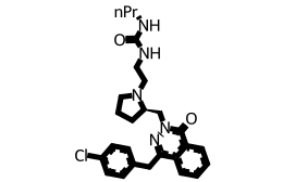 CCCNC(=O)NCCN1CCC[C@@H]1Cn1nc(Cc2ccc(Cl)cc2)c2ccccc2c1=O